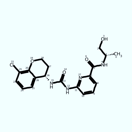 C[C@@H](CO)NC(=O)c1cccc(NC(=O)N[C@H]2CCOc3c(Cl)cccc32)n1